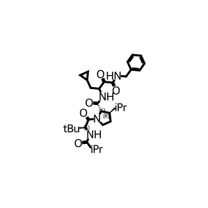 CC(C)C(=O)N[C@H](C(=O)N1CC[C@H](C(C)C)[C@H]1C(=O)NC(CC1CC1)C(=O)C(=O)NCc1ccccc1)C(C)(C)C